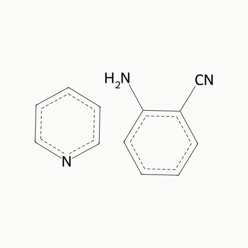 N#Cc1ccccc1N.c1ccncc1